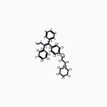 CC/C(=C(\c1ccccc1)c1ccc(OCCN2CCCCC2)cc1)c1ccccc1